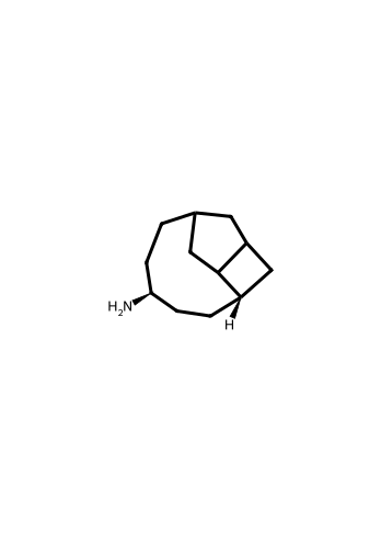 N[C@H]1CCC2CC3C[C@H](CC1)C3C2